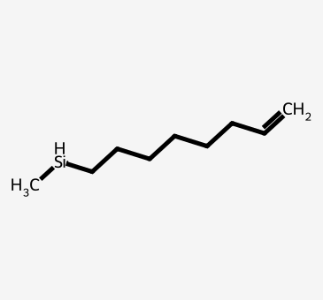 C=CCCCCCC[SiH]C